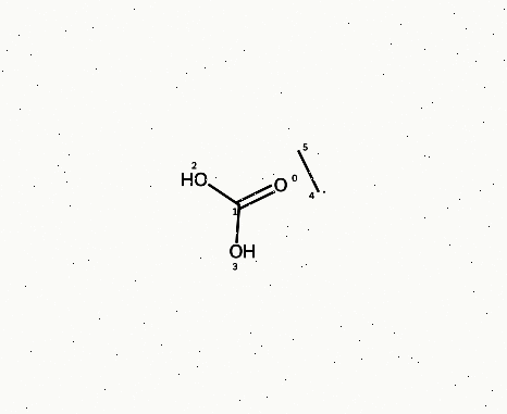 O=C(O)O.[CH2]C